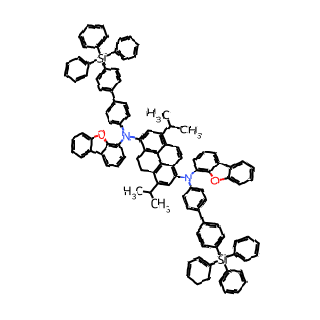 CC(C)c1cc(N(c2ccc(-c3ccc([Si](C4=CC=CCC4)(c4ccccc4)c4ccccc4)cc3)cc2)c2cccc3c2oc2ccccc23)c2ccc3c(C(C)C)cc(N(c4ccc(-c5ccc([Si](c6ccccc6)(c6ccccc6)c6ccccc6)cc5)cc4)c4cccc5c4oc4ccccc45)c4c3c2c1CC4